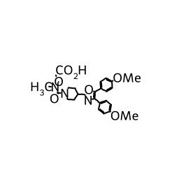 COc1ccc(-c2nc(C3CCN(C(=O)N(C)OCC(=O)O)CC3)oc2-c2ccc(OC)cc2)cc1